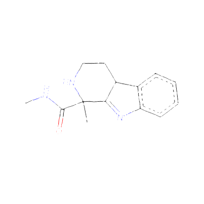 CNC(=O)C1(C)NCCC2C1=Nc1ccccc12